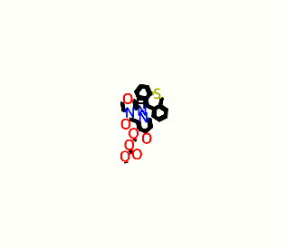 COC(=O)OCOc1c2n(ccc1=O)N([C@H]1c3ccccc3CSc3ccccc31)[C@@H]1COCCN1C2=O